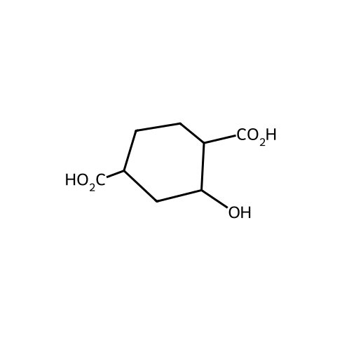 O=C(O)C1CCC(C(=O)O)C(O)C1